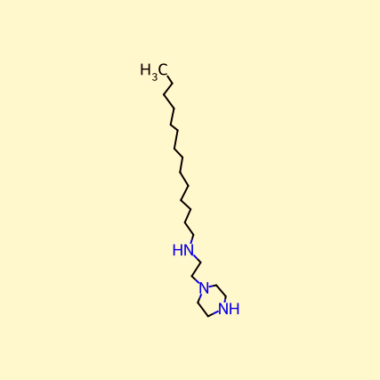 CCCCCCCCCCCCCCNCCN1CCNCC1